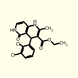 CCOC(=O)C1=C(C)Nc2cc[nH]c(=O)c2C1c1cccc(Cl)c1Cl